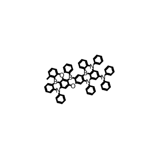 Cc1cccc(C)c1B1c2ccccc2N(c2ccccc2)c2cc3c4c(c21)Oc1ccccc1B4c1cc2c(cc1O3)N(c1ccccc1)c1cc(N(c3ccccc3)c3ccccc3)cc3c1B2c1ccccc1N3c1ccccc1